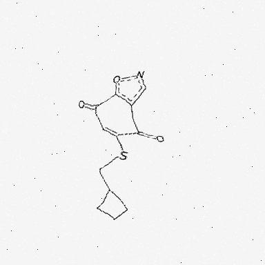 O=C1C(SCC2CCC2)=CC(=O)c2oncc21